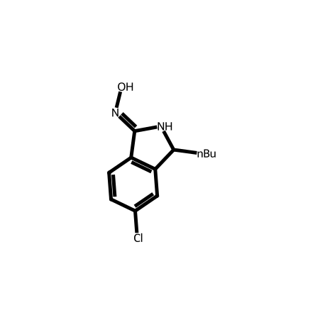 CCCCC1N/C(=N\O)c2ccc(Cl)cc21